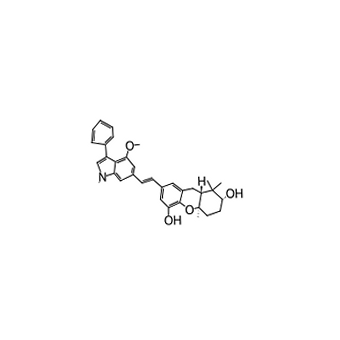 COc1cc(/C=C/c2cc(O)c3c(c2)C[C@@H]2C(C)(C)[C@H](O)CC[C@@]2(C)O3)cc2c1c(-c1ccccc1)cn2C